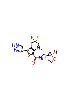 O=C1N[C@@H]([C@@]23CCO[C@@H]2C3)CN2CC(F)(F)Cc3c(-c4cn[nH]c4)sc1c32